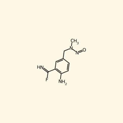 CN(Cc1ccc(N)c(C(=N)F)c1)N=O